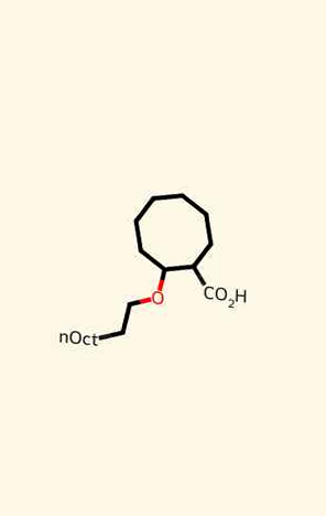 CCCCCCCCCCOC1CCCCCCC1C(=O)O